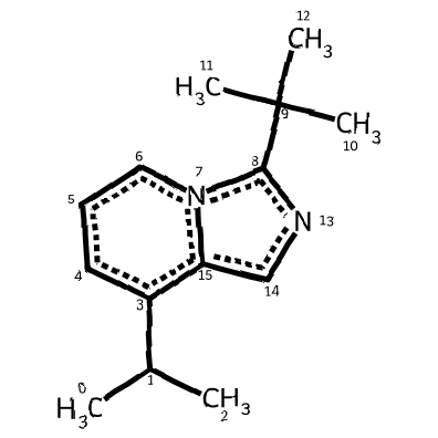 CC(C)c1cccn2c(C(C)(C)C)ncc12